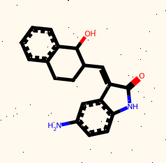 Nc1ccc2c(c1)C(=CC1CCc3ccccc3C1O)C(=O)N2